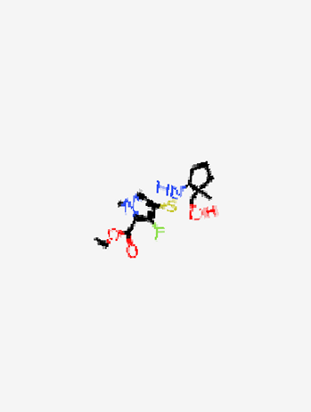 CCOC(=O)c1c(F)c(SNC2CCCC2(C)CO)cn1C